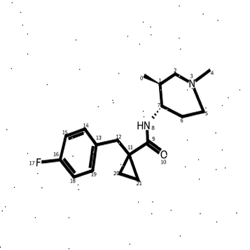 C[C@H]1CN(C)CC[C@@H]1NC(=O)C1(Cc2ccc(F)cc2)CC1